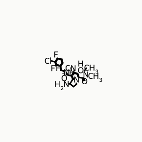 CCN(C)C(=O)c1c(O)/c(=N/C)c(C(=O)NCc2ccc(F)c(Cl)c2F)c2n1CCC2N